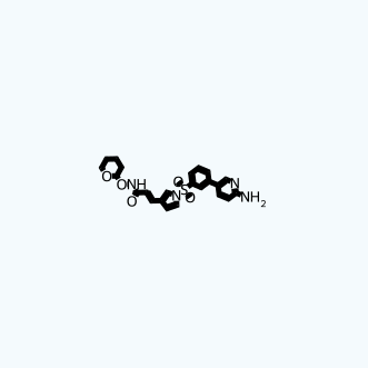 Nc1ccc(-c2cccc(S(=O)(=O)n3ccc(C=CC(=O)NOC4CCCCO4)c3)c2)cn1